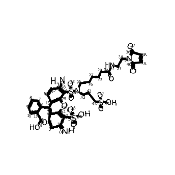 N=c1ccc2c(-c3ccccc3C(=O)O)c3ccc(N)c(S(=O)(=O)N(CCCCCC(=O)NCCN4C(=O)C=CC4=O)CCCS(=O)(=O)O)c3oc-2c1S(=O)(=O)O